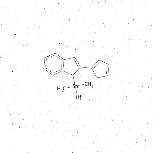 [CH3][Sn]([CH3])([Hf])[CH]1C(C2=CC=CC2)=Cc2ccccc21